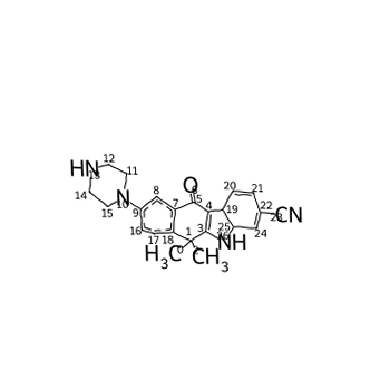 CC1(C)C2=C(C(=O)c3cc(N4CCNCC4)ccc31)C1C=CC(C#N)=CC1N2